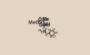 C=CN(CCNC(CC)[Si](OC)(OC)OC)Cc1ccccc1